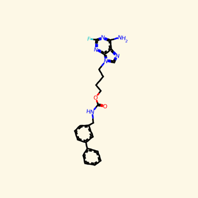 Nc1nc(F)nc2c1ncn2CCCCOC(=O)NCc1cccc(-c2ccccc2)c1